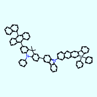 CC1(C)c2cc(-c3ccc4c(c3)c3ccccc3n4-c3ccc4cc5cc6c(cc5cc4c3)[Si](c3ccccc3)(c3ccccc3)c3ccccc3-6)ccc2N(c2ccccc2)c2ccc(-c3c4ccccc4c(-c4cccc5ccccc45)c4ccccc34)cc21